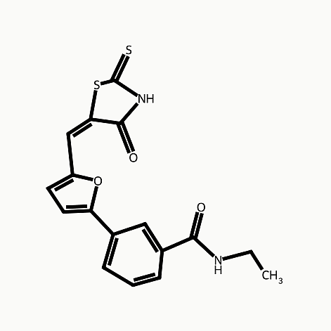 CCNC(=O)c1cccc(-c2ccc(C=C3SC(=S)NC3=O)o2)c1